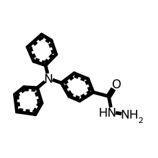 NNC(=O)c1ccc(N(c2ccccc2)c2ccccc2)cc1